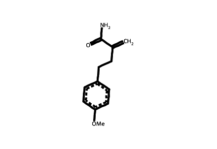 C=C(CCc1ccc(OC)cc1)C(N)=O